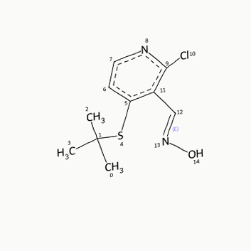 CC(C)(C)Sc1ccnc(Cl)c1/C=N/O